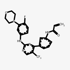 C=CC(=O)Nc1cccc(-c2nc(Nc3ccc(F)c(N4CCOCC4)c3)ncc2C(F)(F)F)c1